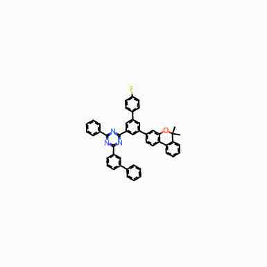 CC1(C)Oc2cc(-c3cc(-c4ccc(F)cc4)cc(-c4nc(-c5ccccc5)nc(-c5cccc(-c6ccccc6)c5)n4)c3)ccc2-c2ccccc21